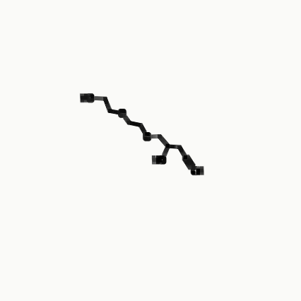 C#CCC(O)COCCOCCO